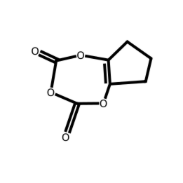 O=C1OC(=O)OC2=C(CCC2)O1